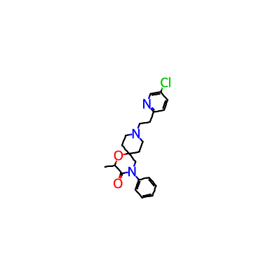 CC1OC2(CCN(CCc3ccc(Cl)cn3)CC2)CN(c2ccccc2)C1=O